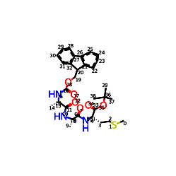 CSCC[C@H](NC(=O)[C@H](C)NC(=O)[C@H](C)NC(=O)OCC1c2ccccc2-c2ccccc21)C(=O)OC(C)(C)C